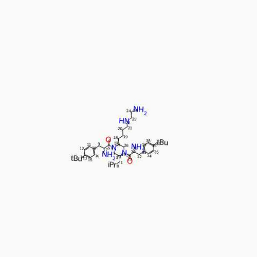 CC(C)C[C@@H]1CN(C(=O)C(N)Cc2ccc(C(C)(C)C)cc2)[C@@H](CCCCNCCN)CN1C(=O)C(N)Cc1ccc(C(C)(C)C)cc1